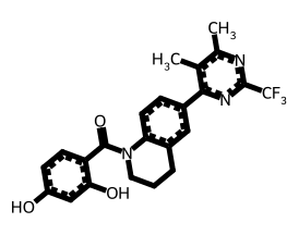 Cc1nc(C(F)(F)F)nc(-c2ccc3c(c2)CCCN3C(=O)c2ccc(O)cc2O)c1C